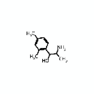 Cc1ccc(C(O)C(C)N)c(C)c1